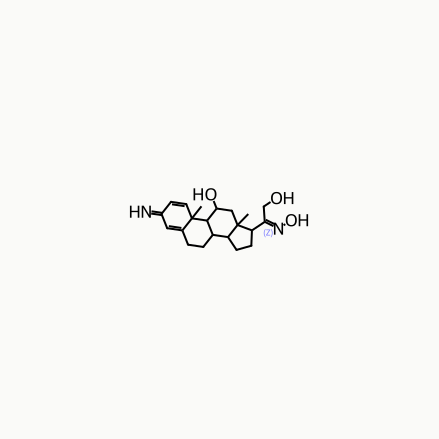 CC12C=CC(=N)C=C1CCC1C2C(O)CC2(C)C(/C(CO)=N/O)CCC12